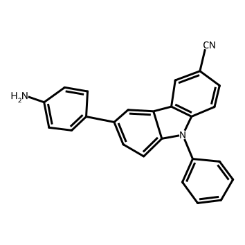 N#Cc1ccc2c(c1)c1cc(-c3ccc(N)cc3)ccc1n2-c1ccccc1